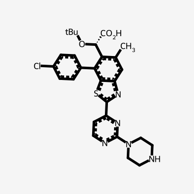 Cc1cc2nc(-c3ccnc(N4CCNCC4)n3)sc2c(-c2ccc(Cl)cc2)c1[C@H](OC(C)(C)C)C(=O)O